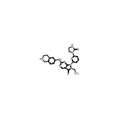 CCn1c(=O)c2cnc(Nc3ccc4c(c3)CCNC4)nc2n1-c1cccc(N2CCNC2=O)n1